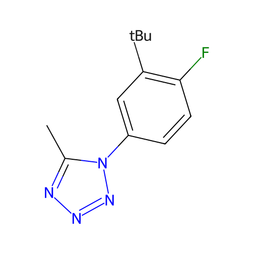 Cc1nnnn1-c1ccc(F)c(C(C)(C)C)c1